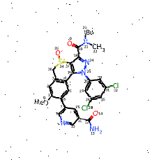 COc1cc2c(cc1-c1cncc(C(N)=O)c1)-c1c(c(C(=O)N(C)C(C)(C)C)nn1-c1cc(Cl)cc(Cl)c1)[S+]([O-])C2